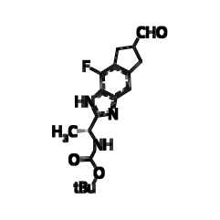 C[C@@H](NC(=O)OC(C)(C)C)c1nc2cc3c(c(F)c2[nH]1)CC(C=O)C3